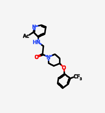 CC(=O)c1ncccc1NCC(=O)N1CCC(Oc2ccccc2C(F)(F)F)CC1